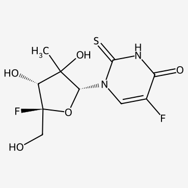 CC1(O)[C@@H](O)[C@@](F)(CO)O[C@H]1n1cc(F)c(=O)[nH]c1=S